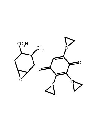 CC1CC2OC2CC1C(=O)O.O=C1C=C(N2CC2)C(=O)C(N2CC2)=C1N1CC1